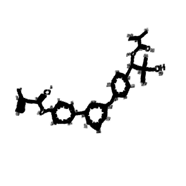 C=C(C)C(=O)Oc1ccc(-c2cccc(-c3ccc(C(OC(=O)C(=C)C)C(C)(C)O)cc3)c2)cc1